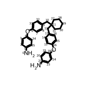 Nc1ccc(Oc2ccc(CC3(Cc4ccc(Oc5ccc(N)cc5)cc4)CCCCC3)cc2)cc1